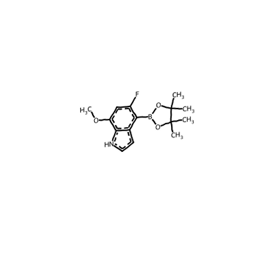 COc1cc(F)c(B2OC(C)(C)C(C)(C)O2)c2cc[nH]c12